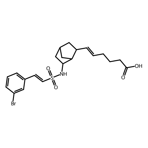 O=C(O)CCCC=CC1CC2CC(NS(=O)(=O)C=Cc3cccc(Br)c3)C1C2